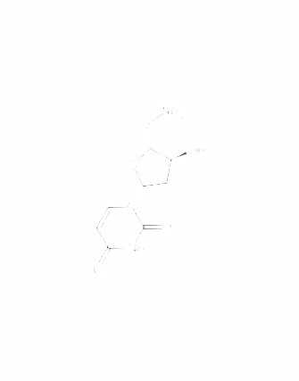 NC[C@H]1O[C@@H](n2ccc(=O)[nH]c2=O)C[C@@H]1O